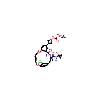 CC(C)(C)OC(=O)ON1CC(c2ccc3c(c2)C(=O)N[C@H](C(=O)NC2(C#N)CC2)Cc2ccc(c(Cl)c2)OC/C=C/CO3)C1